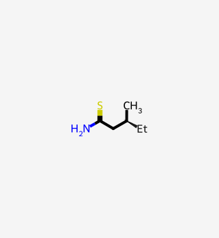 CC[C@H](C)CC(N)=S